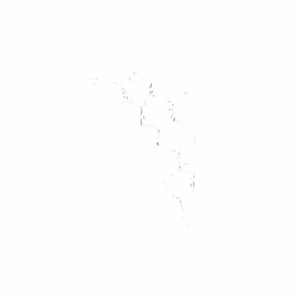 CSc1ccc2c(c1)c(C)c(C(=O)N(C)c1ccc(C)cc1)c(=O)n2O